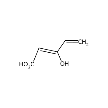 C=CC(O)=CC(=O)O